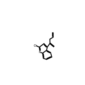 C=CCC(=C)c1cc(Cl)nc2ccccc12